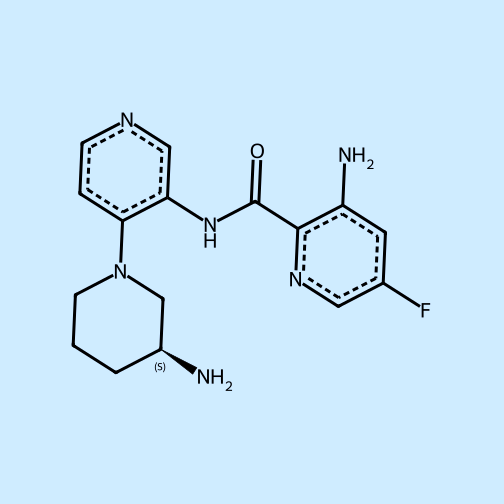 Nc1cc(F)cnc1C(=O)Nc1cnccc1N1CCC[C@H](N)C1